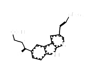 CCCCC/C=C/c1cnc2[nH]c3ccc(C(=O)CCC(=O)O)cc3c2c1